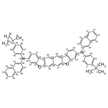 CC(C)(C)c1ccc(N(c2ccc3ccccc3c2)c2ccc3c(c2)oc2cc4cc5oc6cc(N(c7ccc(C(C)(C)C)cc7)c7ccc8ccccc8c7)ccc6c5cc4cc23)cc1